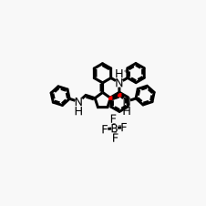 C1=CC(=C2C(=CNc3ccccc3)CCC2=CNc2ccccc2)C([NH+](c2ccccc2)c2ccccc2)C=C1.F[B-](F)(F)F